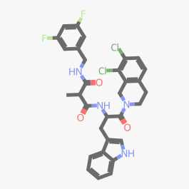 CC(C(=O)NCc1cc(F)cc(F)c1)C(=O)NC(Cc1c[nH]c2ccccc12)C(=O)N1CCc2ccc(Cl)c(Cl)c2C1